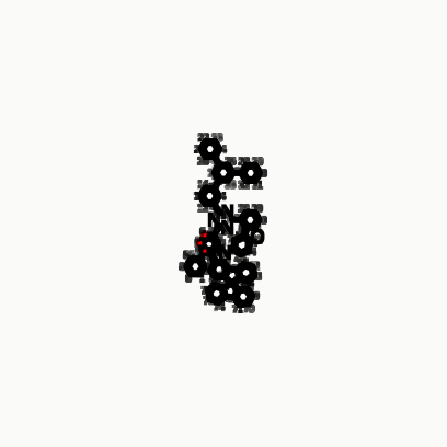 c1ccc(-c2ccc(-c3nc(-c4cccc(-c5cc(-c6ccccc6)cc(-c6ccccc6)c5)c4)nc(-c4cccc5oc6ccc(-n7c8ccccc8c8ccc9c(c87)-c7ccccc7C97c8ccccc8-c8ccccc87)cc6c45)n3)cc2)cc1